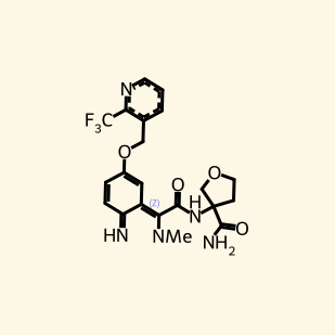 CN/C(C(=O)NC1(C(N)=O)CCOC1)=C1/C=C(OCc2cccnc2C(F)(F)F)C=CC1=N